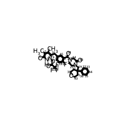 Cc1c(C)c(=O)[nH][n+](OC(=O)C(F)(F)F)c1Cc1ccc(F)c(C(=O)N2CCN(CC3(c4ccccc4)CCOCC3)C(=O)C2)c1